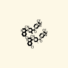 CC1CN(c2c(C#N)cnc3ccc(Cl)cc23)CCC1C(=O)N1CCn2c(nnc2C(F)(F)F)C1.C[C@@H]1CN(c2c(C#N)cnc3ccc(Cl)cc23)CC[C@@H]1C(=O)N1CCn2c(nnc2C(F)(F)F)C1